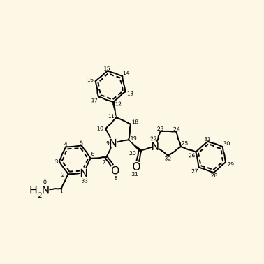 NCc1cccc(C(=O)N2C[C@@H](c3ccccc3)C[C@H]2C(=O)N2CCC(c3ccccc3)C2)n1